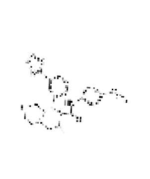 CC(CN1CCOCC1)N(Cc1cccc(-c2nccs2)c1)C(=O)Nc1ccc(OC(F)(F)F)cc1